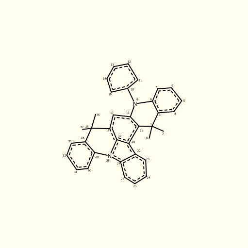 CC1(C)c2ccccc2N(c2ccccc2)c2cc3c4c(c21)c1ccccc1n4-c1ccccc1C3(C)C